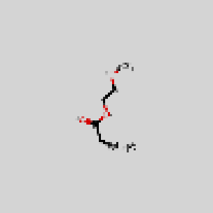 CCCCCCCCC(=O)OCCOC(F)(F)F